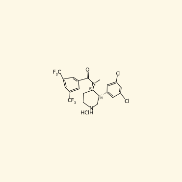 CN(C(=O)c1cc(C(F)(F)F)cc(C(F)(F)F)c1)[C@@H]1CCNC[C@H]1c1cc(Cl)cc(Cl)c1.Cl